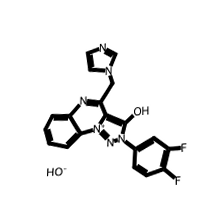 Oc1c2c(Cn3ccnc3)nc3ccccc3[n+]2nn1-c1ccc(F)c(F)c1.[OH-]